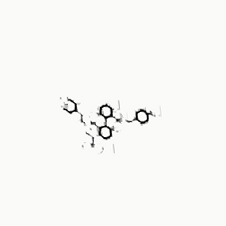 O=C(O)CCN(CCc1ccncc1)C(=O)c1ccccc1-c1ccccc1C(=O)NCc1ccc(Cl)cc1